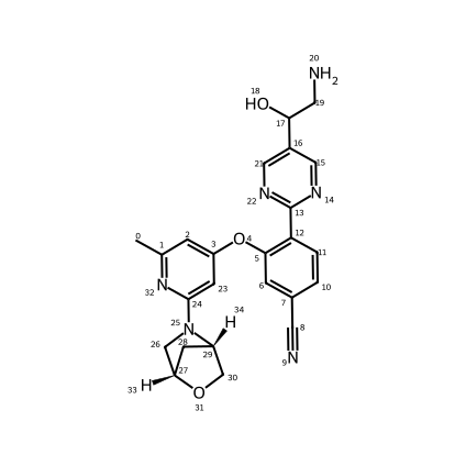 Cc1cc(Oc2cc(C#N)ccc2-c2ncc(C(O)CN)cn2)cc(N2C[C@@H]3C[C@H]2CO3)n1